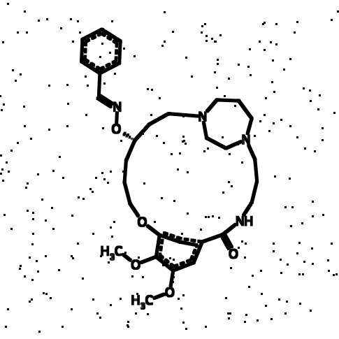 COc1cc2cc(c1OC)OCCC[C@H](O/N=C/c1ccccc1)CCN1CCCN(CCCNC2=O)CC1